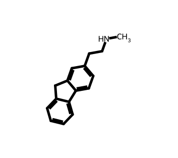 CNCCc1ccc2c(c1)Cc1ccccc1-2